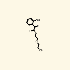 O=C(OCCOCCO)C(=O)c1ccccc1O